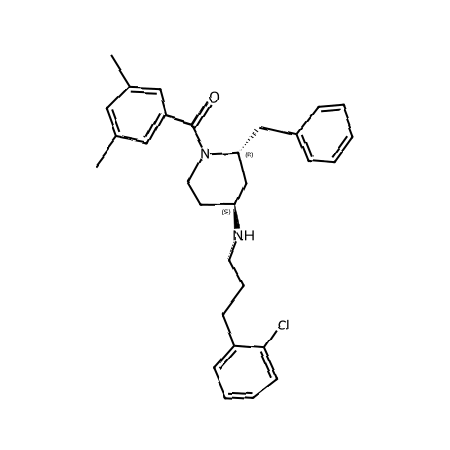 Cc1cc(C)cc(C(=O)N2CC[C@H](NCCCc3ccccc3Cl)C[C@H]2Cc2ccccc2)c1